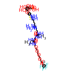 C[C@H](NC(=O)CCCN(N)/C=C(\N)CCCCNC(=S)Nc1ccc(O[C@H]2O[C@H](CCP(=O)(O)O)[C@@H](O)[C@H](O)[C@@H]2O)cc1)C(=O)NCC(=O)N[C@@H](C)C(=O)NCCOCCOCCOCCOCCC(=O)Oc1c(F)c(F)c(F)c(F)c1F